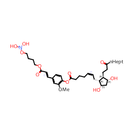 CCCCCCCC(=O)CC[C@@H]1[C@@H](C/C=C\CCCC(=O)Oc2ccc(/C=C/C(=O)OCCCCON(O)O)cc2OC)[C@@H](O)C[C@H]1O